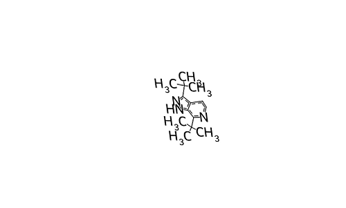 CC(C)(C)c1n[nH]c2c(C(C)(C)C)nccc12